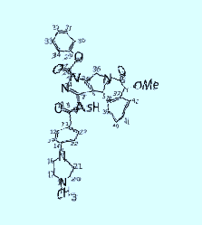 CO[C@@H](C(=O)N1Cc2c([AsH]C(=O)c3ccc(N4CCN(C)CC4)cc3)nn(C(=O)Oc3ccccc3)c2C1)c1ccccc1